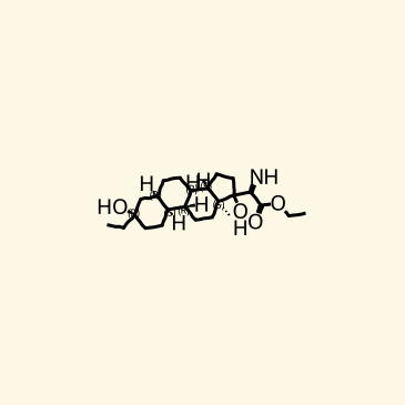 CCOC(=O)C(=N)C1(O)CC[C@H]2[C@@H]3CC[C@@H]4C[C@@](O)(CC)CC[C@@H]4[C@H]3CC[C@@]21C